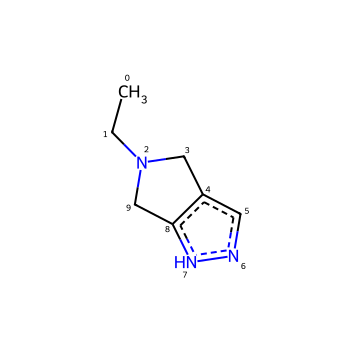 CCN1Cc2cn[nH]c2C1